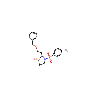 Cc1ccc(S(=O)(=O)N2CC[C@H](O)[C@H]2CCOCc2ccccc2)cc1